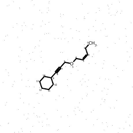 CC/C=C\COCC#CC1CCCCC1